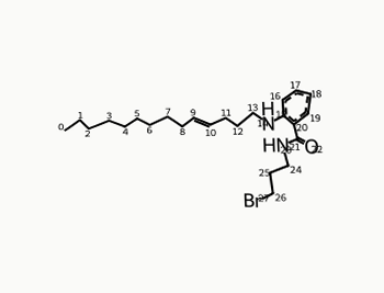 CCCCCCCCC/C=C/CCCNc1ccccc1C(=O)NCCCBr